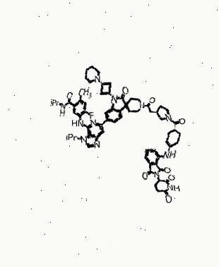 Cc1cc(F)c(Nc2nc(-c3ccc4c(c3)N([C@H]3C[C@@H](N5CCCCC5)C3)C(=O)C43CCN(C(=O)C[C@H]4CCN(C(=O)[C@H]5CC[C@H](Nc6cccc7c6C(=O)N(C6CCC(=O)NC6=O)C7=O)CC5)C4)CC3)cc3ncn(C(C)C)c23)cc1C(=O)NC(C)C